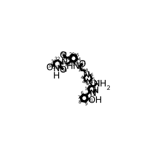 Nc1nnc(-c2ccccc2O)cc1N1CCN(CCC(=O)Nc2cccc3c2CN(C2CCC(=O)NC2=O)C3=O)CC1